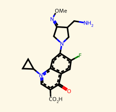 CON=C1CN(c2cc3c(cc2F)c(=O)c(C(=O)O)cn3C2CC2)CC1CN